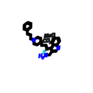 COc1ccc2ncc(CN)c([C@@H](F)CCC3(C(=O)O)CCN(CCCc4ccccc4)CC3)c2c1